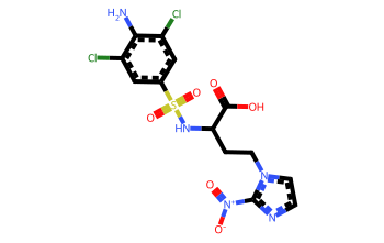 Nc1c(Cl)cc(S(=O)(=O)NC(CCn2ccnc2[N+](=O)[O-])C(=O)O)cc1Cl